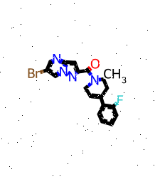 CC1CC(c2ccccc2F)=CCN1C(=O)c1cc2ncc(Br)cn2n1